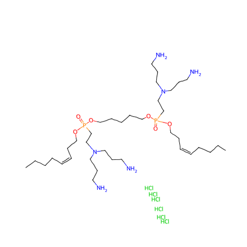 CCCC/C=C\CCOP(=O)(CCN(CCCN)CCCN)OCCCCCOP(=O)(CCN(CCCN)CCCN)OCC/C=C\CCCC.Cl.Cl.Cl.Cl.Cl.Cl